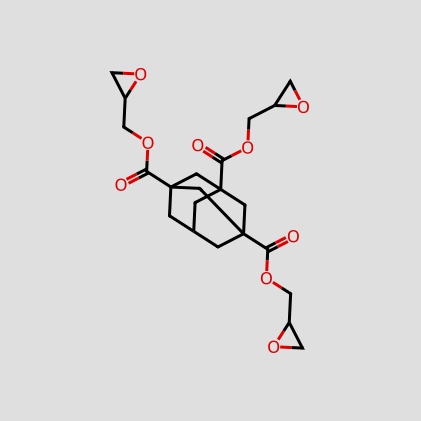 O=C(OCC1CO1)C12CC3CC(C(=O)OCC4CO4)(C1)CC(C(=O)OCC1CO1)(C3)C2